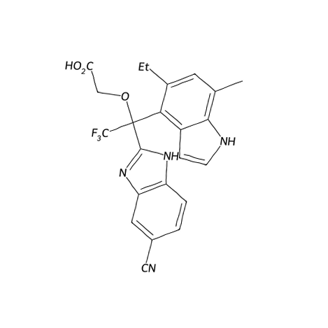 CCc1cc(C)c2[nH]ccc2c1C(OCC(=O)O)(c1nc2cc(C#N)ccc2[nH]1)C(F)(F)F